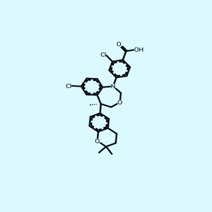 CC1(C)CCc2cc([C@]3(C)COCN(c4ccc(C(=O)O)c(Cl)c4)c4ccc(Cl)cc43)ccc2O1